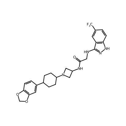 O=C(CNc1n[nH]c2ccc(C(F)(F)F)cc12)NC1CN(C2CCC(c3ccc4c(c3)OCO4)CC2)C1